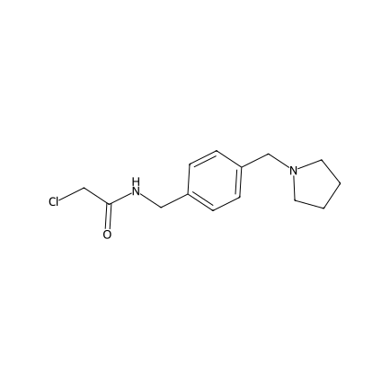 O=C(CCl)NCc1ccc(CN2CCCC2)cc1